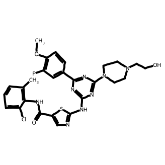 COc1ccc(-c2nc(Nc3ncc(C(=O)Nc4c(C)cccc4Cl)s3)nc(N3CCN(CCO)CC3)n2)cc1F